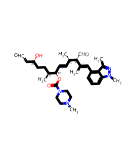 C/C(=C\c1cccc2c1c(C)nn2C)[C@@H](C=O)[C@@H](C)/C=C/[C@H](OC(=O)N1CCN(C)CC1)[C@@H](C)CC[C@@H](O)CC=O